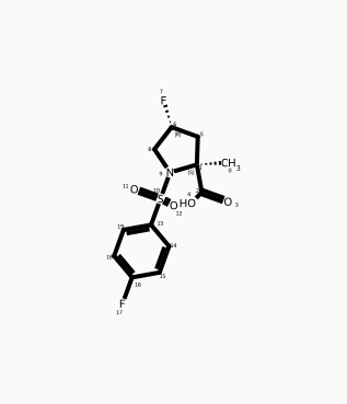 C[C@@]1(C(=O)O)C[C@@H](F)CN1S(=O)(=O)c1ccc(F)cc1